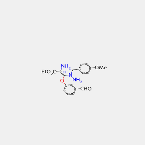 CCOC(=O)/C(N)=C(\Oc1cccc(C=O)c1)N(N)Cc1ccc(OC)cc1